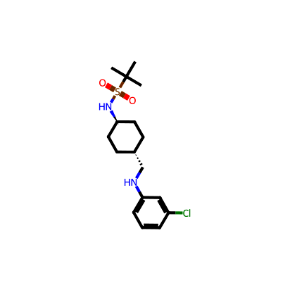 CC(C)(C)S(=O)(=O)N[C@H]1CC[C@H](CNc2cccc(Cl)c2)CC1